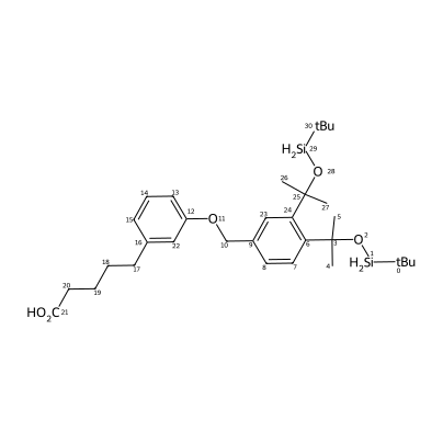 CC(C)(C)[SiH2]OC(C)(C)c1ccc(COc2cccc(CCCCC(=O)O)c2)cc1C(C)(C)O[SiH2]C(C)(C)C